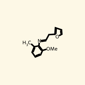 COc1cccc(C)c1N=CCc1ccco1